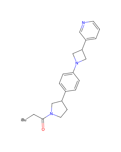 CCC(C)CC(=O)N1CCC(c2ccc(N3CC(c4cccnc4)C3)cc2)C1